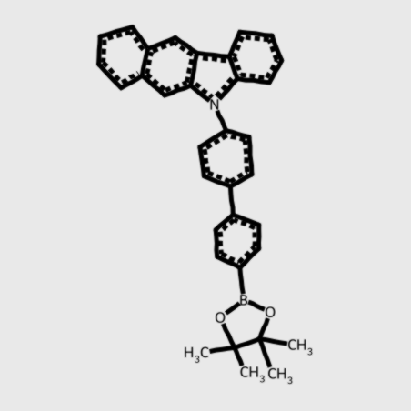 CC1(C)OB(c2ccc(-c3ccc(-n4c5ccccc5c5cc6ccccc6cc54)cc3)cc2)OC1(C)C